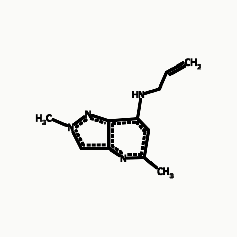 C=CCNc1cc(C)nc2cn(C)nc12